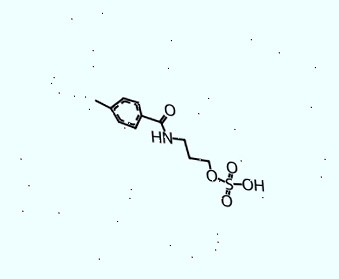 Cc1ccc(C(=O)NCCCOS(=O)(=O)O)cc1